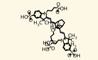 CN1C2CCC1/C(=C\C=C1\N(CCCS(=O)(=O)O)c3ccc(S(=O)(=O)O)cc3C1(C)C)C(OCCC(=O)O)=C2/C=C/C1=[N+](CCCS(=O)(=O)O)c2ccc(S(=O)(=O)O)cc2C1(C)C